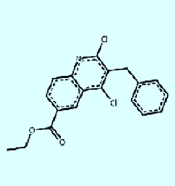 CCOC(=O)c1ccc2nc(Cl)c(Cc3ccccc3)c(Cl)c2c1